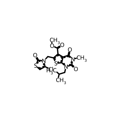 COC(=O)c1c(Cn2c(Cl)csc2=O)sc2c1c(=O)n(C)c(=O)n2CC(C)C